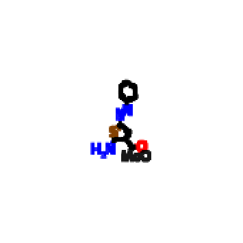 COC(=O)c1cc(N=Nc2ccccc2)sc1N